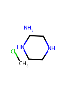 C1CNCCN1.CCl.N